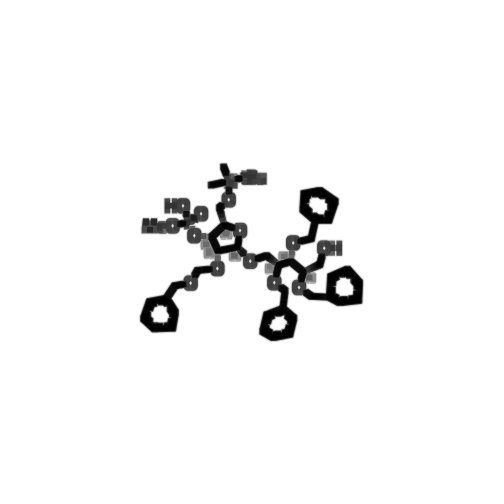 COP(=O)(O)O[C@H]1[C@@H](OCOCc2ccccc2)[C@H](OC[C@H](OCc2ccccc2)[C@H](OCc2ccccc2)[C@@H](CO)OCc2ccccc2)O[C@@H]1CO[Si](C)(C)C(C)(C)C